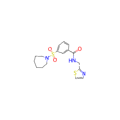 O=C(NCc1nccs1)c1cccc(S(=O)(=O)N2CCCCCC2)c1